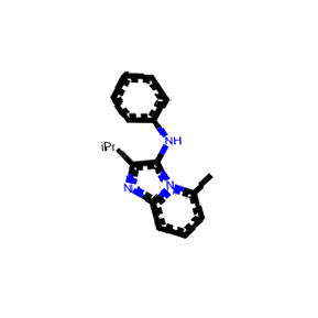 Cc1cccc2nc(C(C)C)c(Nc3ccccc3)n12